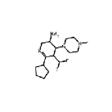 CN1CCN(C2C(N)CN=C(C3CCCC3)C2C(F)F)CC1